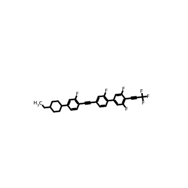 CCC1CCC(c2ccc(C#Cc3ccc(-c4cc(F)c(C#CC(F)(F)F)c(F)c4)c(F)c3)c(F)c2)CC1